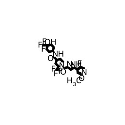 COc1cc(-c2cc(C(=O)N3CCC(C(=O)N[C@H]4CC[C@@](O)(C(F)(F)F)CC4)CC3C(F)(F)F)n[nH]2)c(F)cn1